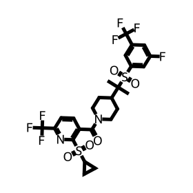 CC(C)(C1CCN(C(=O)c2ccc(C(F)(F)F)nc2S(=O)(=O)C2CC2)CC1)S(=O)(=O)c1cc(F)cc(C(F)(F)F)c1